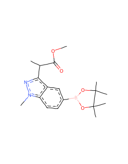 COC(=O)C(C)c1nn(C)c2ccc(B3OC(C)(C)C(C)(C)O3)cc12